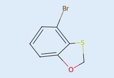 Brc1cccc2c1SCO2